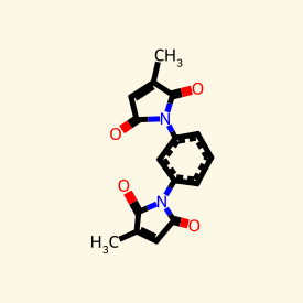 CC1=CC(=O)N(c2cccc(N3C(=O)C=C(C)C3=O)c2)C1=O